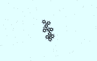 c1ccc(-n2c3ccccc3c3cc4c(cc32)Oc2ccccc2N4c2nc(-c3ccc4c(c3)-c3ccccc3C43c4ccccc4-c4ccccc43)c3ccccc3n2)cc1